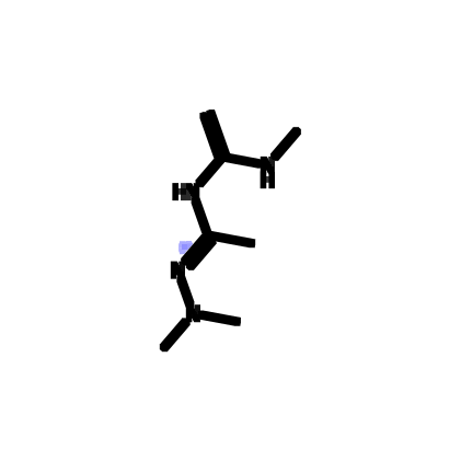 C=C(NC)N/C(C)=N/N(C)C